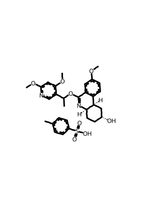 COc1ccc2c(c1)C(OC(C)c1cnc(OC)cc1OC)=N[C@@H]1CC[C@@H](O)C[C@H]21.Cc1ccc(S(=O)(=O)O)cc1